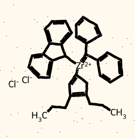 CCCC1=C(CCC)C[C]([Zr+2](=[C](c2ccccc2)c2ccccc2)[CH]2c3ccccc3-c3ccccc32)=C1.[Cl-].[Cl-]